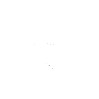 c1ccc(-c2ccc(N(c3ccc4c(c3)-c3ccccc3-c3ccccc3O4)c3ccc4c(c3)C3(c5ccccc5-c5ccccc5-4)c4ccccc4-c4c3c3ccccc3c3ccccc43)cc2)cc1